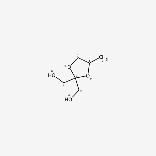 CC1COC(CO)(CO)O1